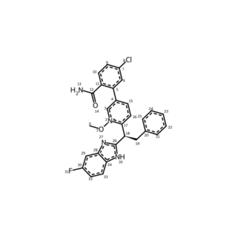 CO[n+]1cc(-c2cc(Cl)ccc2C(N)=O)ccc1[C@@H](Cc1ccccc1)c1nc2cc(F)ccc2[nH]1